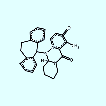 Cc1c2n(ccc1=O)N(C1c3ccccc3CCc3ccccc31)[C@@H]1CCCCN1C2=O